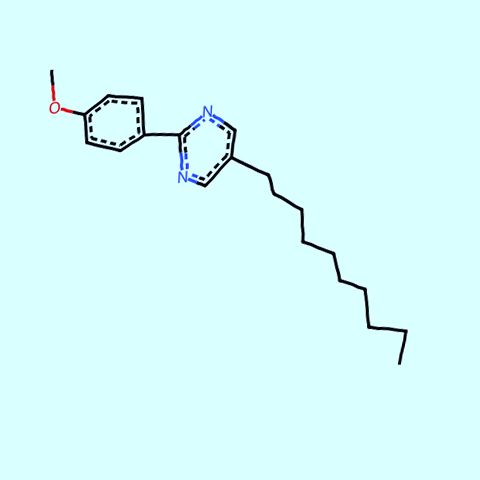 CCCCCCCCCCc1cnc(-c2ccc(OC)cc2)nc1